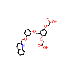 O=C(O)COc1ccc(OCC(=O)O)c(COc2cccc(OCc3ccc4ccccc4n3)c2)c1